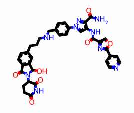 NC(=O)c1nn(-c2ccc(CNCCCc3ccc4c(c3)C(O)N(C3CCC(=O)NC3=O)C4=O)cc2)cc1NC(=O)c1coc(-c2ccncc2)n1